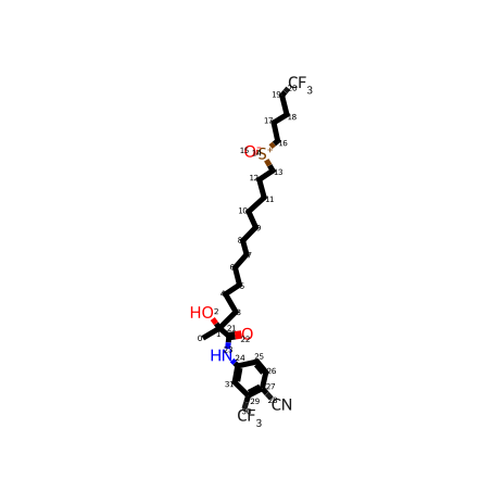 CC(O)(CCCCCCCCCCC[S+]([O-])CCCCC(F)(F)F)C(=O)Nc1ccc(C#N)c(C(F)(F)F)c1